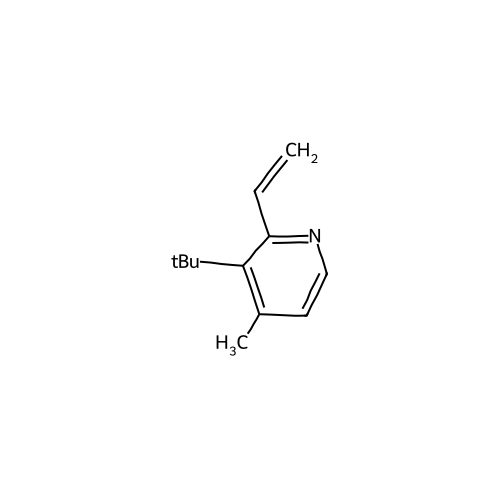 C=Cc1nccc(C)c1C(C)(C)C